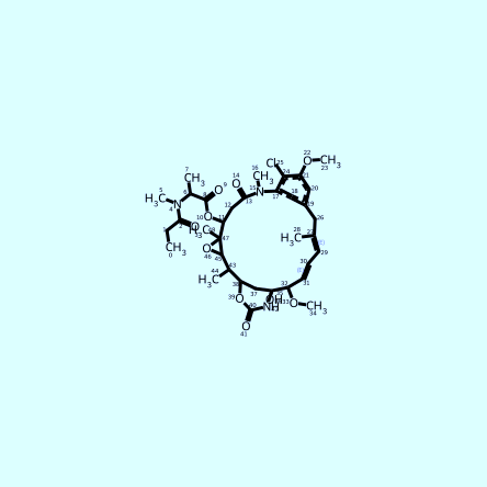 CCC(=O)N(C)C(C)C(=O)OC1CC(=O)N(C)c2cc(cc(OC)c2Cl)C/C(C)=C/C=C/C(OC)C2(O)CC(OC(=O)N2)C(C)C2OC12C